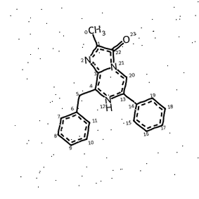 Cc1nc2c(Cc3ccccc3)[nH]c(-c3ccccc3)cn-2c1=O